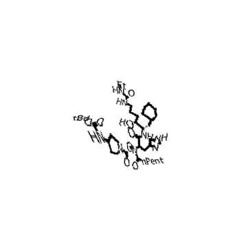 CCCCCC(=O)N(OC(=O)N1CCC(NC(=O)OC(C)(C)C)CC1)C(Cc1c[nH]cn1)C(=O)N[C@@H](CC1CCCCC1)[C@@H](O)CCCNC(=O)NCC